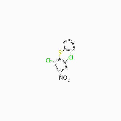 O=[N+]([O-])c1cc(Cl)c(Sc2ccccc2)c(Cl)c1